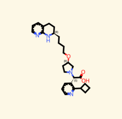 O=C(O)[C@H](c1cccnc1C1CCC1)N1CC[C@@H](OCCCC[C@@H]2CCc3cccnc3N2)C1